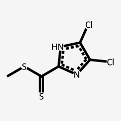 CSC(=S)c1nc(Cl)c(Cl)[nH]1